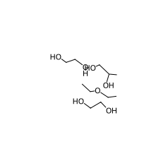 CC(O)CO.CCOCC.OCCO.OCCO